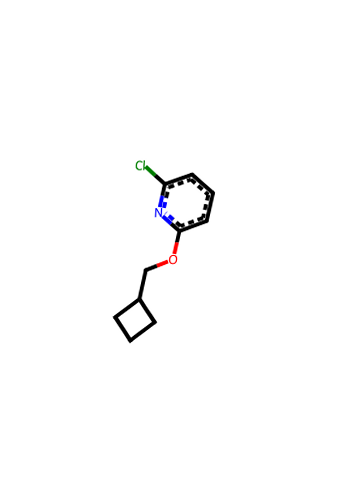 Clc1cccc(OCC2CCC2)n1